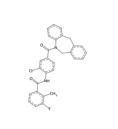 Cc1c(F)cccc1C(=O)Nc1ccc(C(=O)N2Cc3ccccc3Cc3ccccc32)cc1Cl